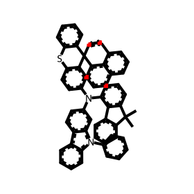 CC1(C)c2ccccc2-c2c(N(c3ccc4c(c3)C3(c5ccccc5S4)c4ccccc4-c4cccc5cccc3c45)c3ccc4c5ccccc5n(-c5ccccc5)c4c3)cccc21